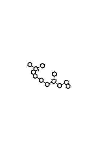 c1ccc(-c2cc(-c3ccccc3)c3ccc4ccc(-c5ccc(-c6cccc(-c7cc(-c8cccc(-c9ccnc%10ccccc9%10)c8)nc(-c8ccccc8)n7)c6)cc5)nc4c3n2)cc1